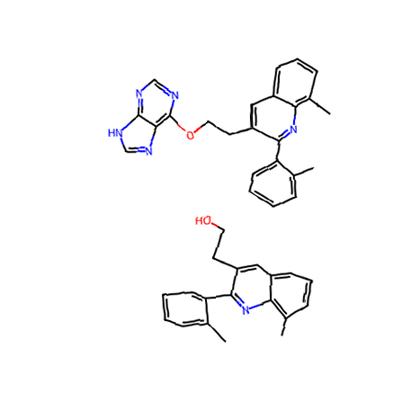 Cc1ccccc1-c1nc2c(C)cccc2cc1CCO.Cc1ccccc1-c1nc2c(C)cccc2cc1CCOc1ncnc2[nH]cnc12